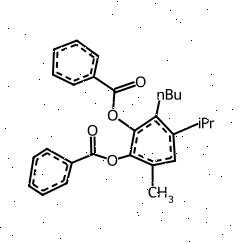 CCCCc1c(C(C)C)cc(C)c(OC(=O)c2ccccc2)c1OC(=O)c1ccccc1